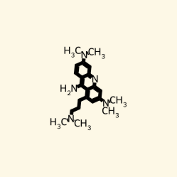 CN(C)CCCc1cc(N(C)C)cc2nc3cc(N(C)C)ccc3c(N)c12